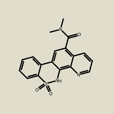 CN(C)C(=O)c1cc2c(c3ncccc13)NS(=O)(=O)c1ccccc1-2